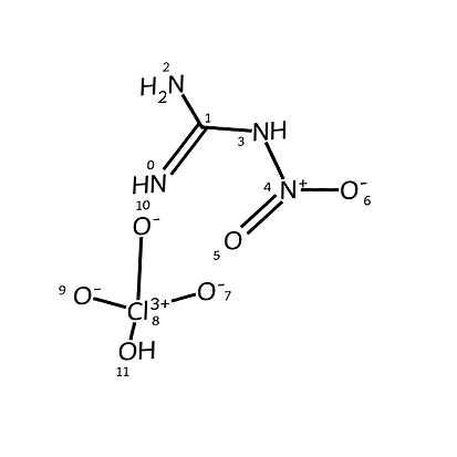 N=C(N)N[N+](=O)[O-].[O-][Cl+3]([O-])([O-])O